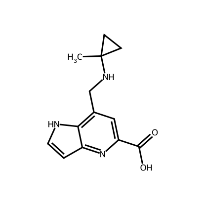 CC1(NCc2cc(C(=O)O)nc3cc[nH]c23)CC1